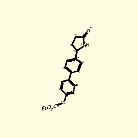 CCOC(=O)Oc1ccc(-c2ccc(C3CCC(=O)N3)cc2)cc1